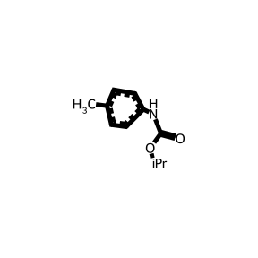 Cc1ccc(NC(=O)OC(C)C)cc1